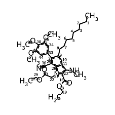 CCCCCCCCCc1cc2c(NC)c(C(=O)OCC)n(CC(=O)OCC)c2c(C#N)c1-c1cc(OC)c(OC)c(OC)c1